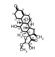 C=C1C[C@H]2[C@@H]3CCC4=CC(=O)CC[C@]4(C)[C@H]3C(O)C[C@]2(C)[C@@]1(OCOC)C(=O)CO